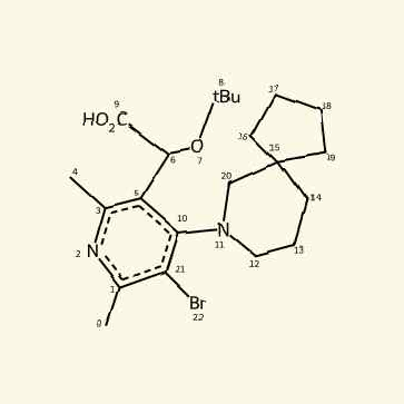 Cc1nc(C)c(C(OC(C)(C)C)C(=O)O)c(N2CCCC3(CCCC3)C2)c1Br